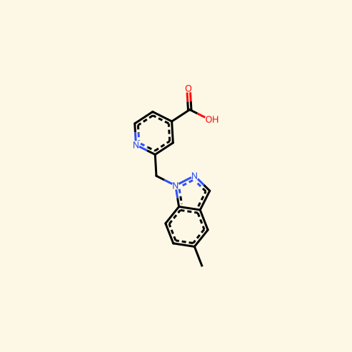 Cc1ccc2c(cnn2Cc2cc(C(=O)O)ccn2)c1